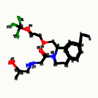 CCc1ccc2c(c1)C(COCCOC(F)(F)F)N(C(=O)CNC[C@@H](C)O)CC2